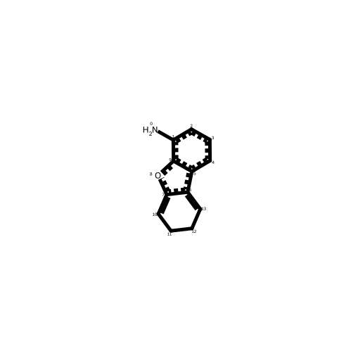 Nc1cccc2c3c(oc12)=CCCC=3